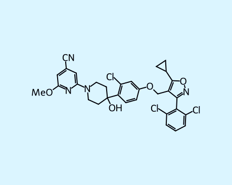 COc1cc(C#N)cc(N2CCC(O)(c3ccc(OCc4c(-c5c(Cl)cccc5Cl)noc4C4CC4)cc3Cl)CC2)n1